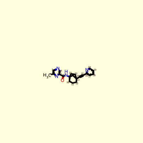 Cc1cncc(C(=O)NC23CCCC(C#Cc4ccccn4)(CC2)C3)n1